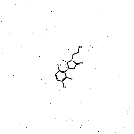 C[C@H]1[C@H](c2c(O)ccc(Cl)c2Cl)CC(=O)N1CCO